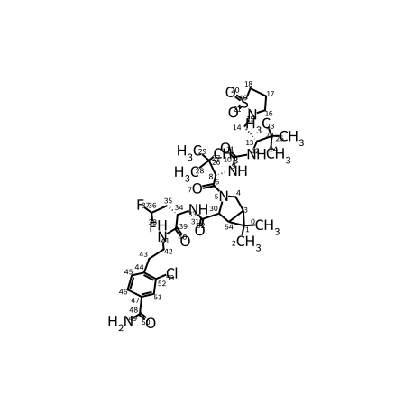 CC1(C)C2CN(C(=O)[C@@H](NC(=O)N[C@H](CN3CCCS3(=O)=O)C(C)(C)C)C(C)(C)C)C(C(=O)N[C@@H](CC(F)F)C(=O)NCCc3ccc(C(N)=O)cc3Cl)C21